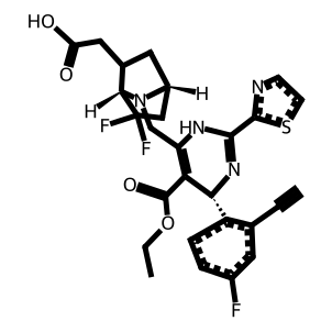 C#Cc1cc(F)ccc1[C@H]1N=C(c2nccs2)NC(CN2[C@@H]3CC(CC(=O)O)[C@H]2C(F)(F)C3)=C1C(=O)OCC